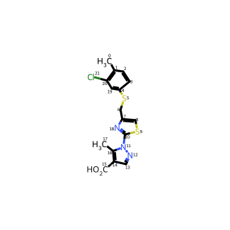 Cc1ccc(SCc2csc(-n3ncc(C(=O)O)c3C)n2)cc1Cl